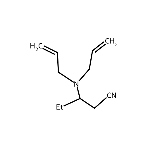 C=CCN(CC=C)C(CC)CC#N